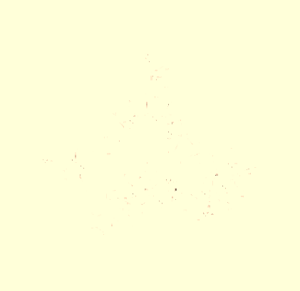 CC[C@H](C)[C@@H]([C@@H](CC(=O)N1CCC[C@H]1[C@H](OC)[C@@H](C)C(=O)N[C@H](C)[C@@H](O)c1ccccc1)OC)N(C)C(=O)[C@@H](NC(=O)[C@H](C(C)C)N(C)C(=O)OCc1ccc(NC(=O)[C@H](CCCNC(N)=O)NC(=O)[C@@H](NC(=O)CCCCCN2C(=O)CC(SC)C2=O)C(C)C)cc1)C(C)C